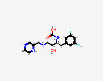 O=C(O)N[C@@H](Cc1cc(F)cc(F)c1)[C@H](O)CNCc1cnccn1